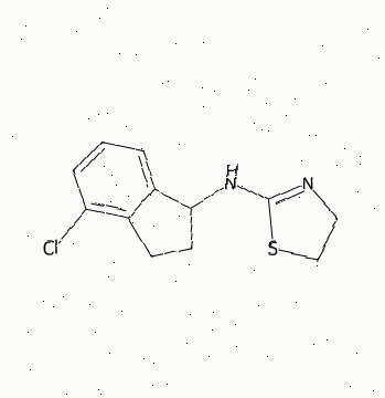 Clc1cccc2c1CCC2NC1=NCCS1